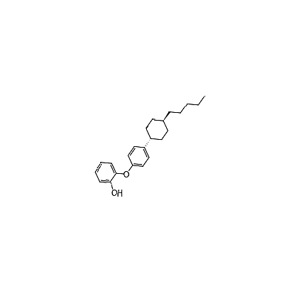 CCCCC[C@H]1CC[C@H](c2ccc(Oc3ccccc3O)cc2)CC1